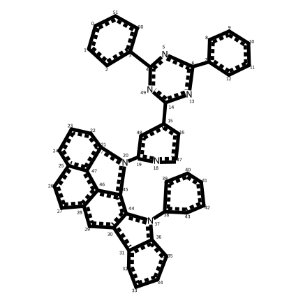 c1ccc(-c2nc(-c3ccccc3)nc(-c3ccnc(-n4c5cccc6ccc7cc8c9ccccc9n(-c9ccccc9)c8c4c7c65)c3)n2)cc1